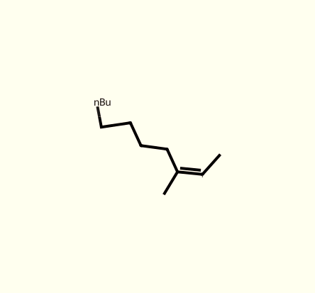 C/[C]=C(/C)CCCCCCCC